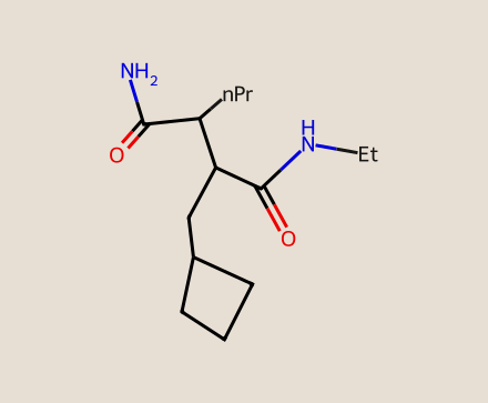 CCCC(C(N)=O)C(CC1CCC1)C(=O)NCC